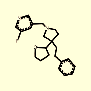 Fc1cncc(CN2CCC(CCc3ccccc3)(C3CCCO3)C2)c1